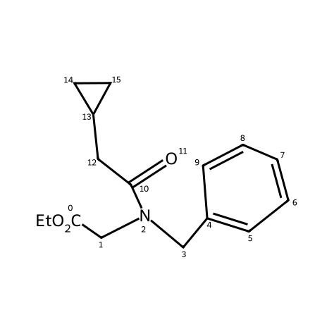 CCOC(=O)CN(Cc1ccccc1)C(=O)CC1CC1